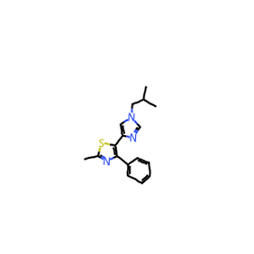 Cc1nc(-c2ccccc2)c(-c2cn(CC(C)C)cn2)s1